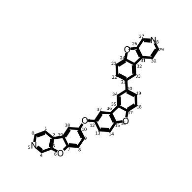 c1cc2c(cn1)oc1ccc(Oc3ccc4oc5ccc(-c6ccc7oc8cnccc8c7c6)cc5c4c3)cc12